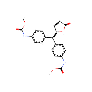 CC(C)(C)OC(=O)Nc1ccc(C(=C2C=CC(=O)O2)c2ccc(NC(=O)OC(C)(C)C)cc2)cc1